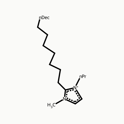 CCCCCCCCCCCCCCCCCc1n(C)cc[n+]1CCC